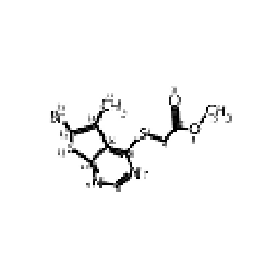 COC(=O)CSc1ncnc2sc(Br)c(C)c12